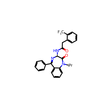 CC(C)N1C(=O)[C@H](NC(=O)Cc2ccccc2C(F)(F)F)N=C(c2ccccc2)c2ccccc21